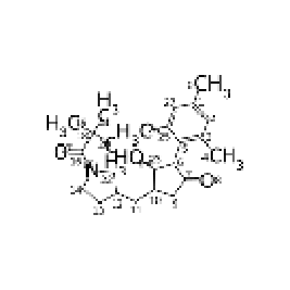 Cc1cc(C)c(C2C(=O)CC(CC3CCN(C(=O)C(C)(C)C)C3)C2O)c(C)c1